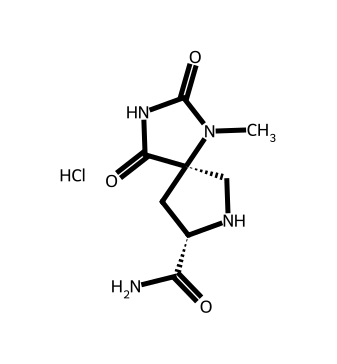 CN1C(=O)NC(=O)[C@@]12CN[C@H](C(N)=O)C2.Cl